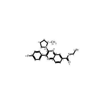 CC(C)CSC(=O)c1ccc2nc(-c3ccc(F)cc3)c(N3CCC[C@@H]3C)nc2c1